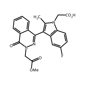 COC(=O)Cn1nc(-c2c(C)n(CC(=O)O)c3ccc(F)cc23)c2ccccc2c1=O